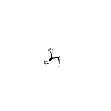 C=C(CC)CI